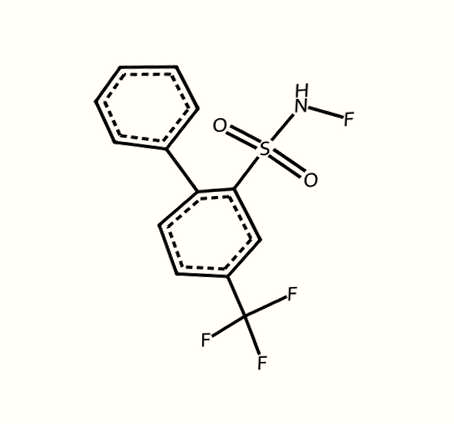 O=S(=O)(NF)c1cc(C(F)(F)F)ccc1-c1ccccc1